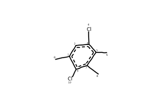 Cc1cc(Cl)c(C)c(C)c1Cl